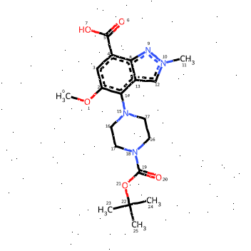 COc1cc(C(=O)O)c2nn(C)cc2c1N1CCN(C(=O)OC(C)(C)C)CC1